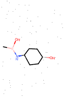 CB(O)N[C@H]1CC[C@H](O)CC1